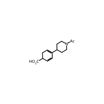 CC(=O)N1CCC(C2=CCC(C(=O)O)C=C2)CC1